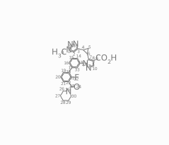 Cn1cc(C2CC2c2c(C(=O)O)cnn2-c2cccc(-c3cccc(C(=O)N4CCCCC4)c3F)c2)nn1